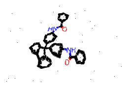 O=C(Nc1ccc(C2(c3ccc(NC(=O)c4ccccc4)cc3)c3ccccc3-c3ccccc32)cc1)c1ccccc1